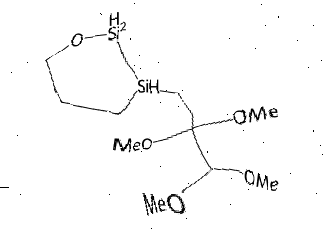 COC(OC)C(C[SiH]1CCCO[SiH2]1)(OC)OC